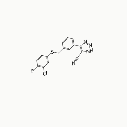 N#Cc1[nH]nnc1-c1cccc(CSc2ccc(F)c(Cl)c2)c1